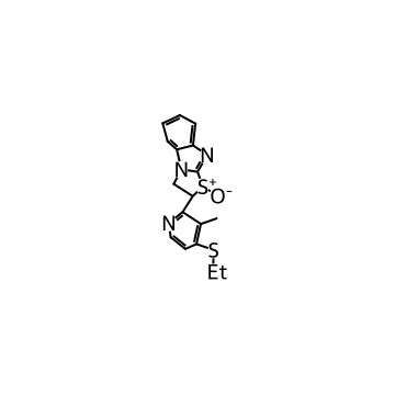 CCSc1ccnc(C2Cn3c(nc4ccccc43)[S+]2[O-])c1C